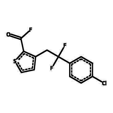 O=C(F)c1sccc1CC(F)(F)c1ccc(Cl)cc1